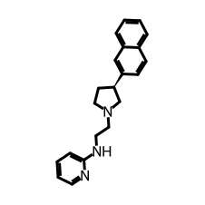 c1ccc(NCCN2CC[C@@H](c3ccc4ccccc4c3)C2)nc1